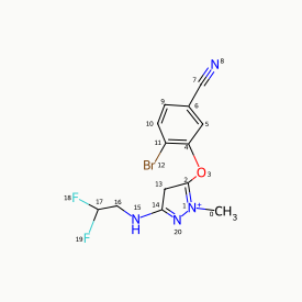 C[N+]1=C(Oc2cc(C#N)ccc2Br)CC(NCC(F)F)=N1